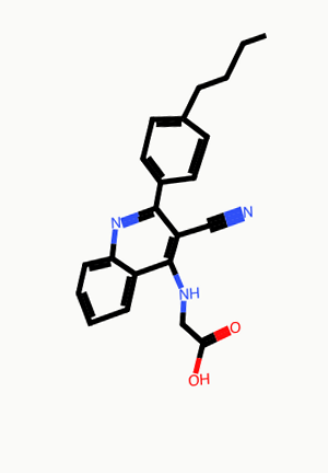 CCCCc1ccc(-c2nc3ccccc3c(NCC(=O)O)c2C#N)cc1